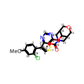 COc1ccc(-c2csc3c(OC4C5COCC4CN(C(=O)OC(C)(C)C)C5)ncnc23)c(Cl)c1